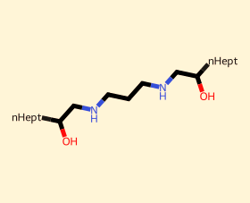 CCCCCCCC(O)CNCCCNCC(O)CCCCCCC